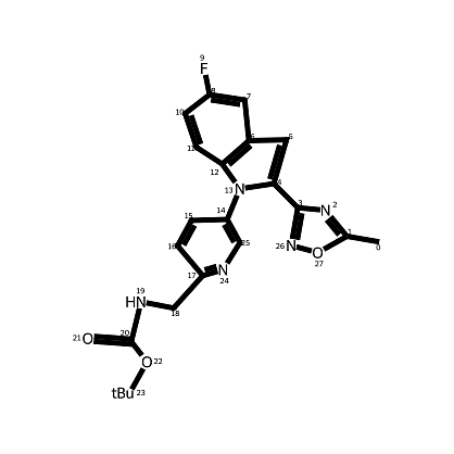 Cc1nc(-c2cc3cc(F)ccc3n2-c2ccc(CNC(=O)OC(C)(C)C)nc2)no1